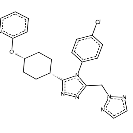 Clc1ccc(-n2c(Cn3nccn3)nnc2[C@H]2CC[C@@H](Oc3ccccn3)CC2)cc1